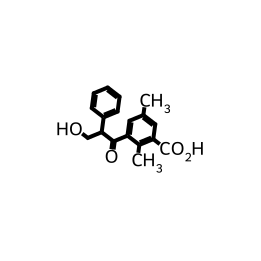 Cc1cc(C(=O)O)c(C)c(C(=O)C(CO)c2ccccc2)c1